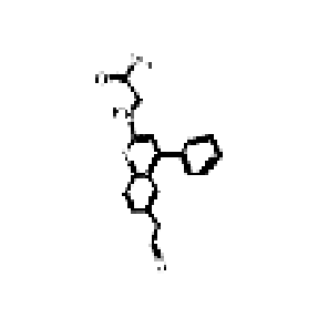 O=CCc1ccc2nc(NCC(=O)O)cc(-c3ccccc3)c2c1